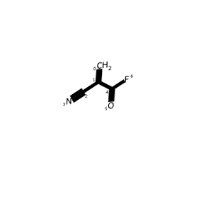 C=C(C#N)C(=O)F